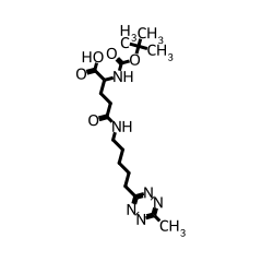 Cc1nnc(CCCCCNC(=O)CCC(NC(=O)OC(C)(C)C)C(=O)O)nn1